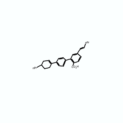 CCC/C=C/c1ccc(C(=O)O)c(-c2ccc(C3=CCC(CCC)CC3)cc2)c1